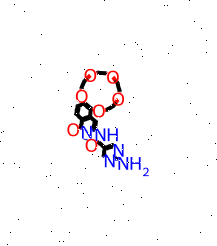 Cn1c(NC(=O)c2cnc(N)nc2)cc2c3c(ccc2c1=O)OCCOCCOCCOCCO3